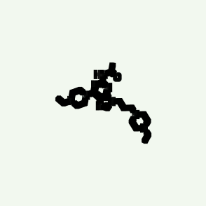 CCN1CCN(CCCn2cnc3c(N4CCN(CC)CC4)nc(NC(C)=O)nc32)CC1